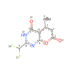 CCCCc1cc(=O)oc2nc(C(F)F)[nH]c(=O)c12